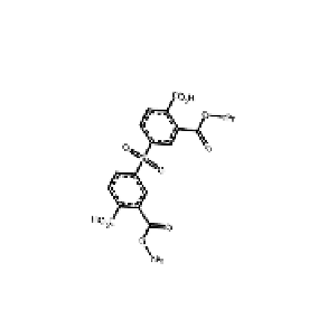 CCCOC(=O)c1cc(S(=O)(=O)c2ccc(C(=O)O)c(C(=O)OCCC)c2)ccc1C(=O)O